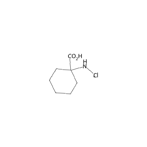 O=C(O)C1(NCl)CCCCC1